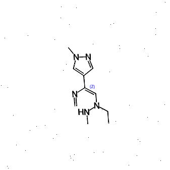 C=N/C(=C\N(CC)NC)c1cnn(C)c1